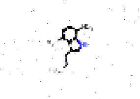 Cc1ccc([N+](=O)[O-])c2[nH]cc(CCC(=O)O)c12